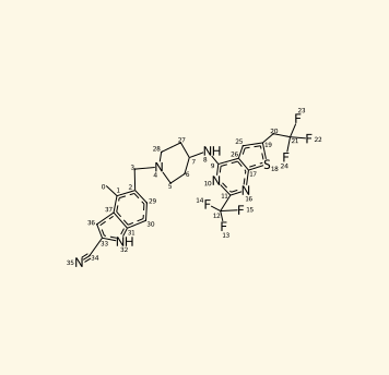 Cc1c(CN2CCC(Nc3nc(C(F)(F)F)nc4sc(CC(F)(F)F)cc34)CC2)ccc2[nH]c(C#N)cc12